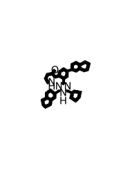 c1ccc(C2N=C(c3cc(-c4ccc5ccccc5c4)cc4oc5cccnc5c34)NC(c3ccc4ccccc4c3)N2)cc1